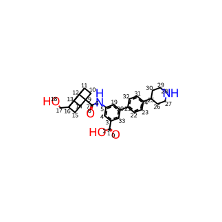 O=C(O)c1cc(NC(=O)C23CC4C2C2C3CC42CO)cc(-c2ccc(C3CCNCC3)cc2)c1